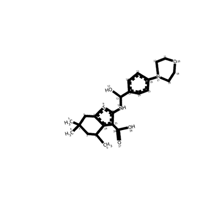 CC1CC(C)(C)Cc2sc(NC(O)c3ccc(N4CCOCC4)cc3)c(C(=O)O)c21